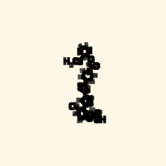 CSc1nccnc1OCC(=O)N1CCC(c2nc(C3=NOC(c4c(Cl)cccc4CS(=O)(=O)O)C3)cs2)CC1